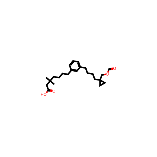 CC(C)(CCCCc1cccc(CCCCC2(COC=O)CC2)c1)CC(=O)O